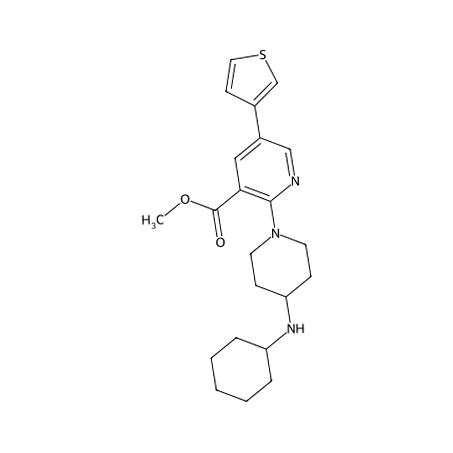 COC(=O)c1cc(-c2ccsc2)cnc1N1CCC(NC2CCCCC2)CC1